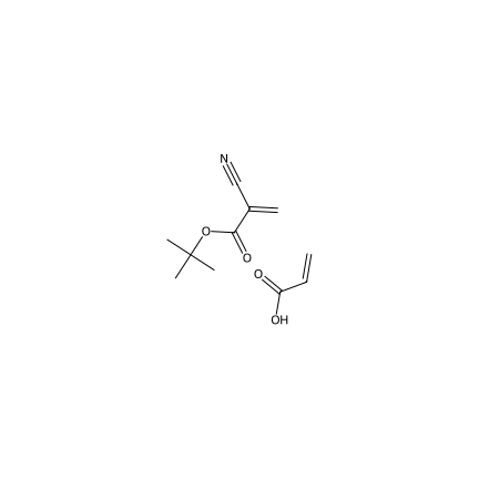 C=C(C#N)C(=O)OC(C)(C)C.C=CC(=O)O